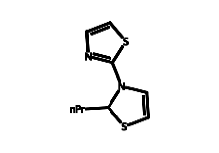 [CH2]CCC1SC=CN1c1nccs1